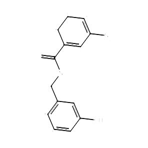 Cc1cccc(CNC(=O)C2=CC(N)=CCC2)c1